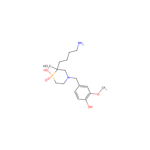 NCCCCC1(C(=O)O)CN(Cc2ccc(O)c(OC(F)(F)F)c2)CCP1(=O)O